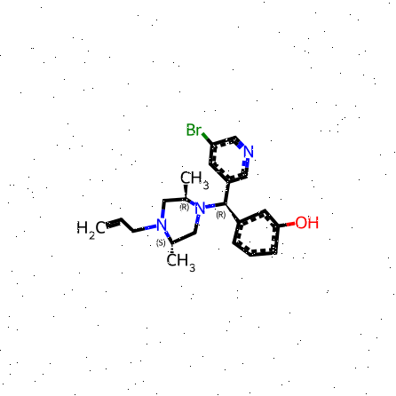 C=CCN1C[C@@H](C)N([C@H](c2cccc(O)c2)c2cncc(Br)c2)C[C@@H]1C